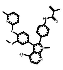 C=C(C)C(=O)Nc1ccc(-c2c(-c3ccc(Oc4cccc(C)n4)c(OC)c3)c3c(N)ncnc3n2C)cc1